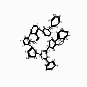 C1=C(c2cccc3c2CSc2c(-c4cccc(-c5nc(-c6ccccc6)nc(-c6ccc7c(c6)oc6ccccc67)n5)c4)cccc2-3)CC(c2ccccc2)CC1